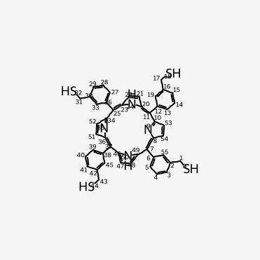 SCc1cccc(-c2c3nc(c(-c4cccc(CS)c4)c4ccc([nH]4)c(-c4cccc(CS)c4)c4nc(c(-c5cccc(CS)c5)c5ccc2[nH]5)C=C4)C=C3)c1